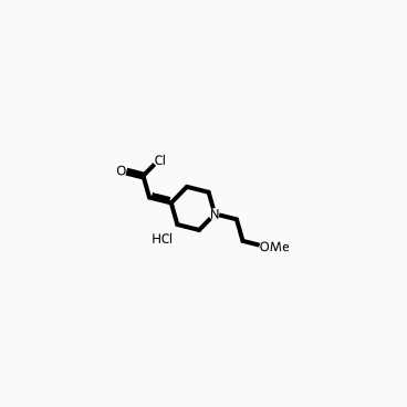 COCCN1CCC(=CC(=O)Cl)CC1.Cl